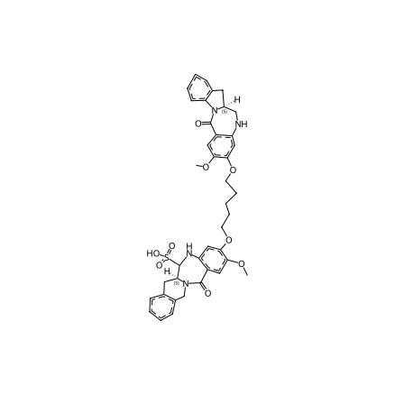 COc1cc2c(cc1OCCCCCOc1cc3c(cc1OC)C(=O)N1c4ccccc4C[C@H]1CN3)NC(S(=O)(=O)O)[C@@H]1Cc3ccccc3CN1C2=O